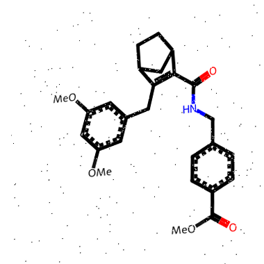 COC(=O)c1ccc(CNC(=O)C2=C(Cc3cc(OC)cc(OC)c3)C3CCC2C3)cc1